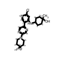 CC1(O)CCC(Nc2cc(Cl)ncc2-c2cnc(N3CCC(F)(F)CC3)cn2)CC1